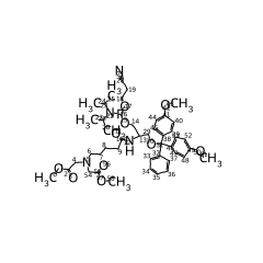 COC(=O)CN(CCCCC(=O)NC(COP(OCCC#N)N(C(C)C)C(C)C)COC(c1ccccc1)(c1ccc(OC)cc1)c1ccc(OC)cc1)CC(=O)OC